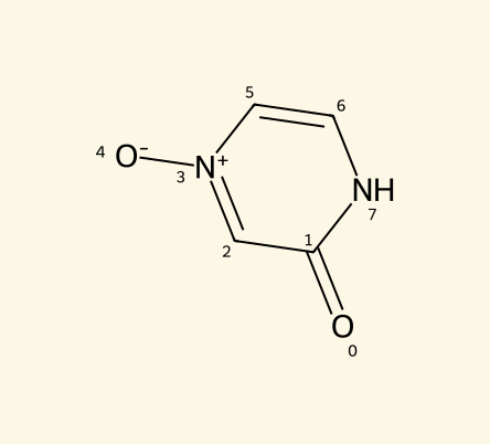 O=c1c[n+]([O-])cc[nH]1